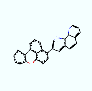 C1=CNC2C(=C1)C=CC1=CC(c3ccc4c5c(cccc35)-c3ccccc3O4)=CNC12